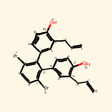 C=CCc1cc(-c2c(C(C)C)ccc(C(C)C)c2-c2ccc(O)c(CC=C)c2)ccc1O